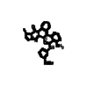 COc1cccc(NC(=O)c2c(N)ncnc2N[C@@H](C)c2nn3ccc(C)c3c(=O)n2-c2ccccc2)c1